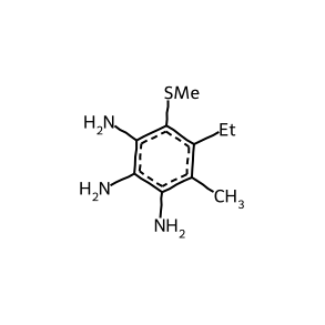 CCc1c(C)c(N)c(N)c(N)c1SC